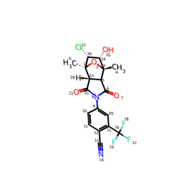 C[C@]12O[C@@](C)(C3C(=O)N(c4ccc(C#N)c(C(F)(F)F)c4)C(=O)[C@@H]31)[C@@H](O)[C@H]2Cl